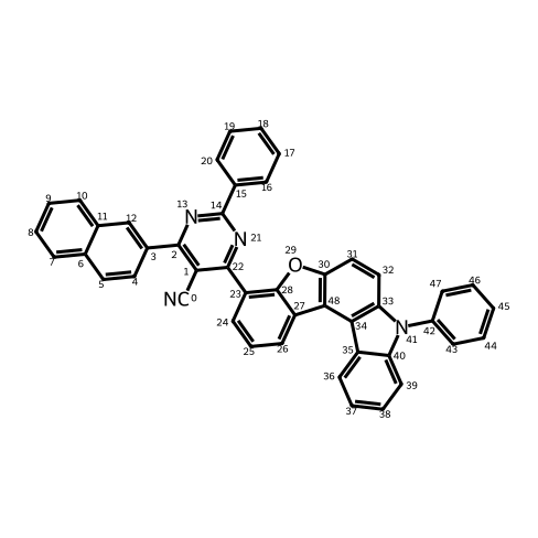 N#Cc1c(-c2ccc3ccccc3c2)nc(-c2ccccc2)nc1-c1cccc2c1oc1ccc3c(c4ccccc4n3-c3ccccc3)c12